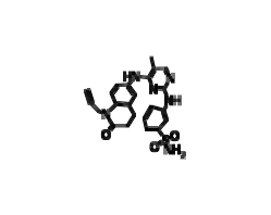 C#CCN1C(=O)CCc2cc(Nc3nc(Nc4cccc(S(N)(=O)=O)c4)ncc3C)ccc21